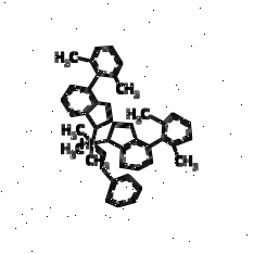 Cc1cccc(C)c1-c1cccc2c1C=C[CH]2[Hf]([CH3])([CH3])([CH3])(=[CH]Cc1ccccc1)[CH]1C=Cc2c(-c3c(C)cccc3C)cccc21